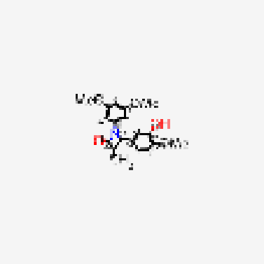 C=C1C(=O)N(c2cc(OC)cc(OC)c2)C1c1ccc(OC)c(O)c1